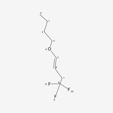 CCCCOC=CCC(F)(F)F